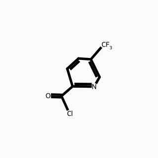 O=C(Cl)c1ccc(C(F)(F)F)cn1